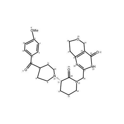 COc1ccc(C(=O)C2CCN([C@H]3CCCN(Cc4nc5c(c(=O)[nH]4)COCC5)C3=O)CC2)cc1